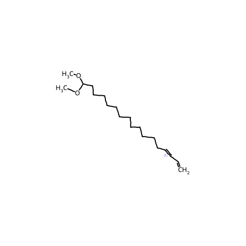 C=C/C=C/CCCCCCCCCCCCC(OC)OC